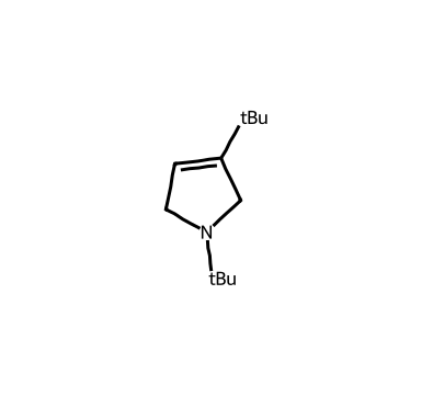 CC(C)(C)C1=CCN(C(C)(C)C)C1